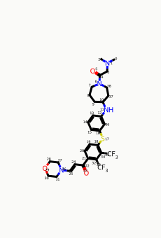 CN(C)CC(=O)N1CCCC(Nc2cccc(Sc3ccc(C(=O)C=CN4CCOCC4)c(C(F)(F)F)c3C(F)(F)F)c2)CC1